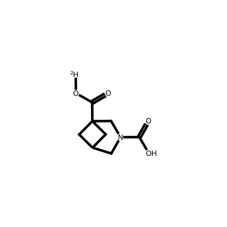 [2H]OC(=O)C12CC(CN(C(=O)O)C1)C2